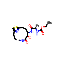 CC(C)C(NC(=O)OCC(C)(C)C)C(=O)NC1CCc2nc(cs2)CCCNC(=O)C1=O